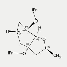 CC(C)O[C@]12C[C@@H]3C[C@]3(OC(C)C)[C@H]1O[C@@H](C)C2